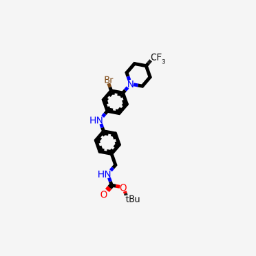 CC(C)(C)OC(=O)NCc1ccc(Nc2ccc(N3CCC(C(F)(F)F)CC3)c(Br)c2)cc1